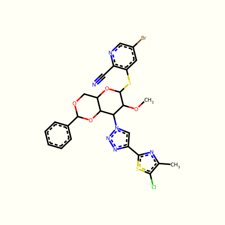 COC1C(Sc2cc(Br)cnc2C#N)OC2COC(c3ccccc3)OC2C1n1cc(-c2nc(C)c(Cl)s2)nn1